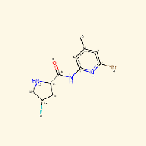 Cc1cc(Br)nc(NC(=O)[C@@H]2C[C@@H](F)CN2)c1